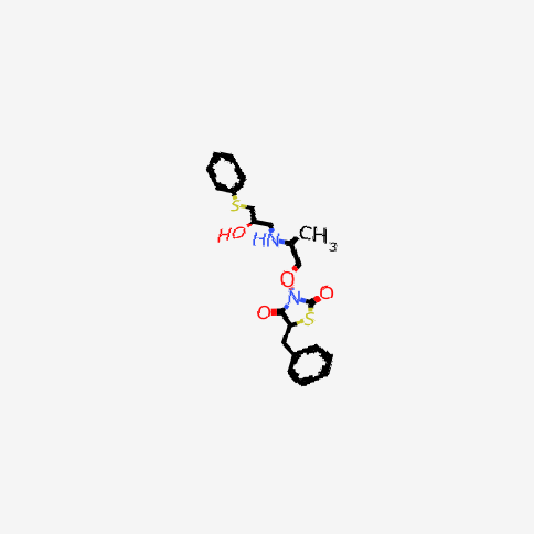 CC(CON1C(=O)SC(Cc2ccccc2)C1=O)NCC(O)CSc1ccccc1